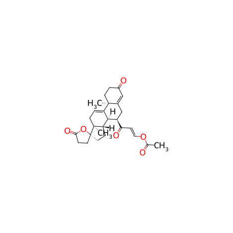 CC(=O)O/C=C/C(=O)[C@@H]1CC2=CC(=O)CC[C@]2(C)C2=CC[C@@]3(C)[C@@H](CC[C@@]34CCC(=O)O4)[C@@H]21